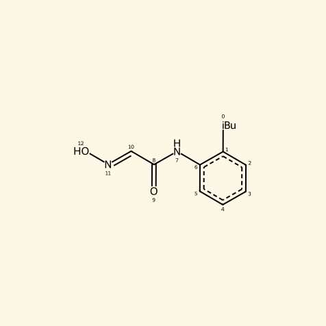 CCC(C)c1ccccc1NC(=O)/C=N/O